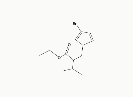 CCOC(=O)C(CC1C=CC(Br)=C1)C(C)C